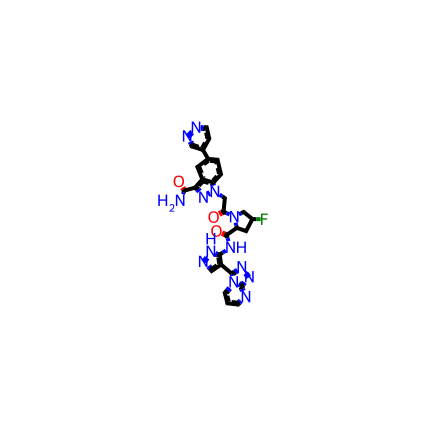 NC(=O)c1nn(CC(=O)N2CC(F)CC2C(=O)Nc2[nH]ncc2-c2nnc3ncccn23)c2ccc(-c3ccnnc3)cc12